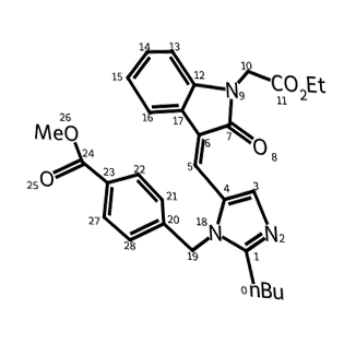 CCCCc1ncc(/C=C2\C(=O)N(CC(=O)OCC)c3ccccc32)n1Cc1ccc(C(=O)OC)cc1